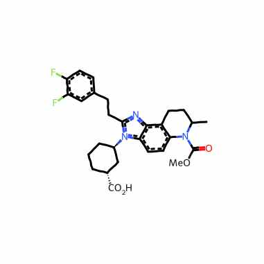 COC(=O)N1c2ccc3c(nc(CCc4ccc(F)c(F)c4)n3[C@@H]3CCC[C@@H](C(=O)O)C3)c2CCC1C